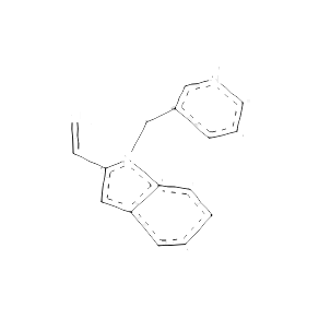 C=Cc1cc2ccccc2n1Cc1cccnc1